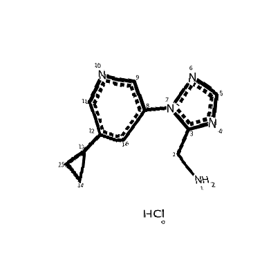 Cl.NCc1ncnn1-c1cncc(C2CC2)c1